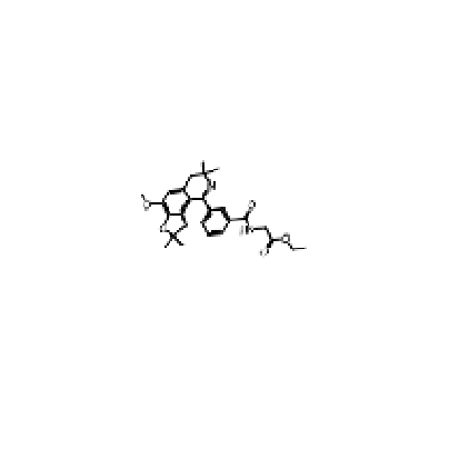 CCOC(=O)CNC(=O)c1cccc(C2=NC(C)(C)Cc3cc(OC)c4c(c32)CC(C)(C)O4)c1